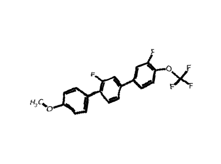 COc1ccc(-c2ccc(-c3ccc(OC(F)(F)F)c(F)c3)cc2F)cc1